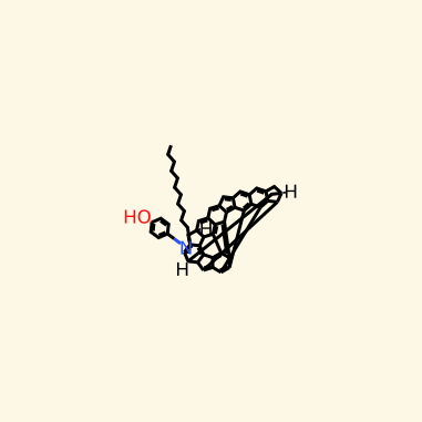 CCCCCCCCCCCC1N(c2ccc(O)cc2)CC2[C@H]3C[C@H]4Cc5cc6cc7cc8cc9c%10c%11c%12c%13c%14c%15c(c5C4C=%14C3C%13=C3C%11[C@@H](C=9)CC321)c6c1c7c8c%10c%12c%151